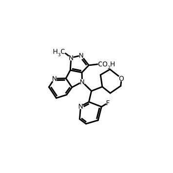 Cn1nc(C(=O)O)c2c1c1ncccc1n2C(c1ncccc1F)C1CCOCC1